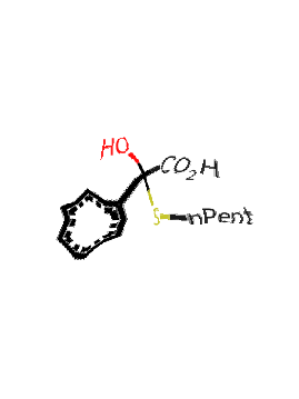 CCCCCSC(O)(C(=O)O)c1ccccc1